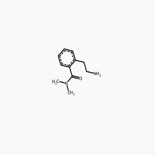 CN(C)C(=O)c1ccccc1CCN